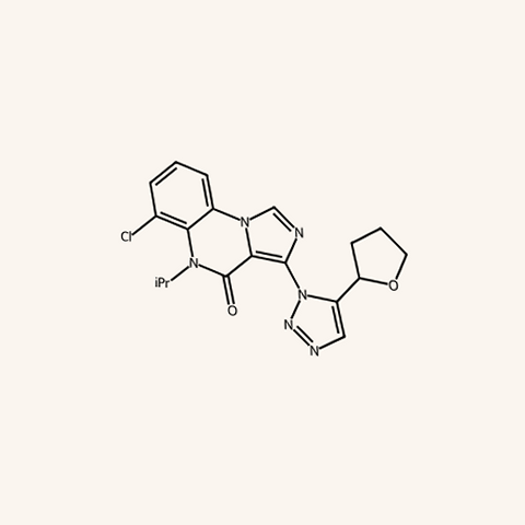 CC(C)n1c(=O)c2c(-n3nncc3C3CCCO3)ncn2c2cccc(Cl)c21